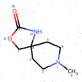 CN1CCC2(CC1)COC(=O)N2